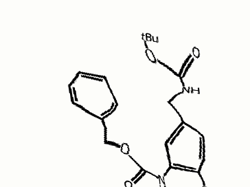 CC(C)(C)OC(=O)NCc1ccc(F)c(NC(=O)OCc2ccccc2)c1